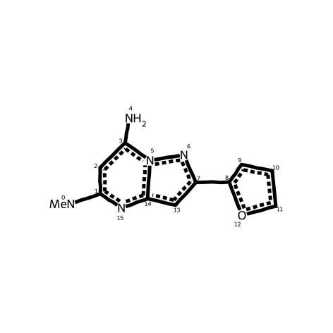 CNc1cc(N)n2nc(-c3ccco3)cc2n1